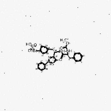 COC(=O)N[C@@H](Cc1ccccc1)C(=O)N[C@@H](Cc1ccc(NS(=O)(=O)O)cc1)c1csc(-c2ccccc2)n1